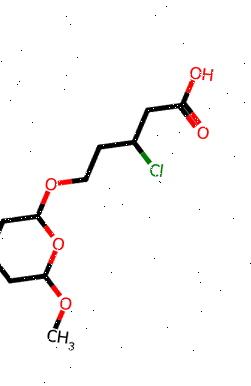 COC1CCCC(OCCC(Cl)CC(=O)O)O1